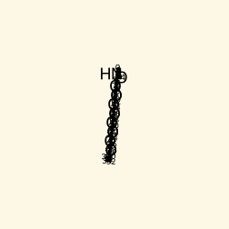 CCNC(=O)CCOCCOCCOCCOCCOCCOCCOCCOCCC(C)(C)C